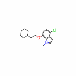 Cn1ccc2c(Cl)ccc(OCCC3CCCCC3)c21